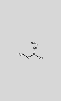 OB(O)O[SiH3].[GeH4]